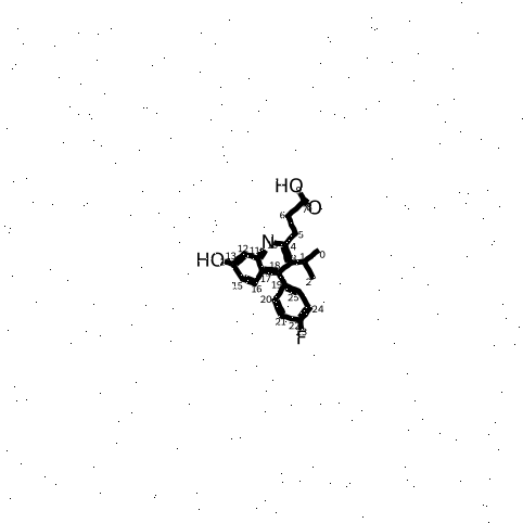 CC(C)c1c(CCC(=O)O)nc2cc(O)ccc2c1-c1ccc(F)cc1